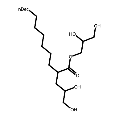 CCCCCCCCCCCCCCCCC(CC(O)CO)C(=O)OCC(O)CO